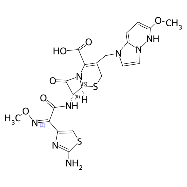 CO/N=C(\C(=O)N[C@@H]1C(=O)N2C(C(=O)O)=C(CN3C=CN4NC(OC)=CC=C34)CS[C@@H]12)c1csc(N)n1